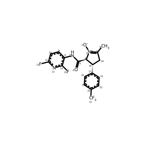 CC1=[N+]([O-])[C@H](C(=O)Nc2ccc(F)nc2F)[C@@H](c2ccc(C(F)(F)F)cc2)C1